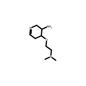 CN(C)CCOC1CC=NCC1N